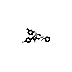 Cc1c(CN(CC(C)C)S(=O)(=O)c2ccccc2)nn(-c2ccc(Cl)cc2Cl)c1-c1ccc(Cl)cc1